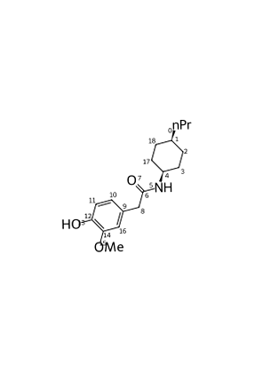 CCC[C@H]1CC[C@@H](NC(=O)Cc2ccc(O)c(OC)c2)CC1